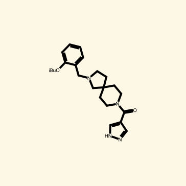 CC(C)COc1ccccc1CN1CCC2(CCN(C(=O)c3cn[nH]c3)CC2)C1